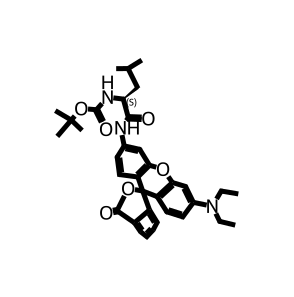 CCN(CC)c1ccc2c(c1)Oc1cc(NC(=O)[C@H](CC(C)C)NC(=O)OC(C)(C)C)ccc1C21OC(=O)c2ccccc21